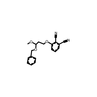 COC(CCOc1cccc(C#N)c1C#N)OCc1ccccc1